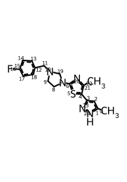 Cc1cc(-c2sc(N3CCN(Cc4ccc(F)cc4)C3)nc2C)n[nH]1